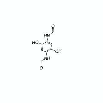 O=CNc1cc(O)c(NC=O)cc1O